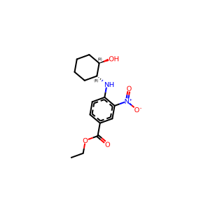 CCOC(=O)c1ccc(N[C@@H]2CCCC[C@H]2O)c([N+](=O)[O-])c1